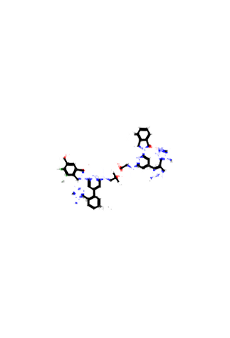 Cn1cnnc1-c1ccc(C#N)cc1-c1cc(NCC(C)(C)OC(=O)CNc2cc(-c3c(-c4nncn4C)cnn3C)cc(N3Cc4c(cccc4C(F)(F)F)C3=O)n2)nc(N2Cc3c(cc(CO)c(F)c3F)C2=O)c1